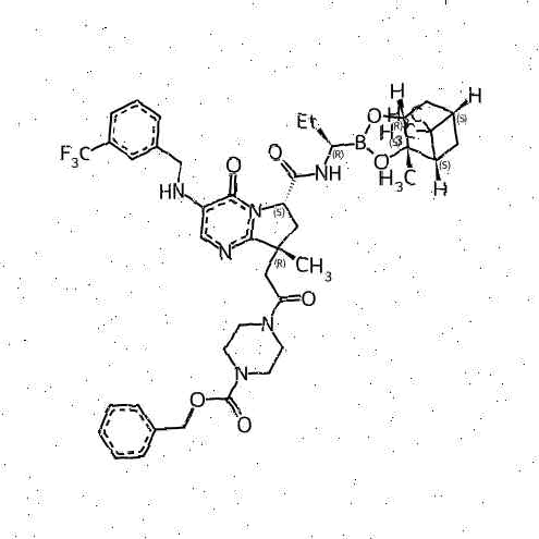 CC[C@H](NC(=O)[C@@H]1C[C@](C)(CC(=O)N2CCN(C(=O)OCc3ccccc3)CC2)c2ncc(NCc3cccc(C(F)(F)F)c3)c(=O)n21)B1O[C@@H]2C[C@@H]3C[C@@H](C3(C)C)[C@]2(C)O1